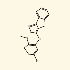 COC1=C(Nc2[nH]nc3c2Cc2ccccc2-3)C=C(Cl)CC1